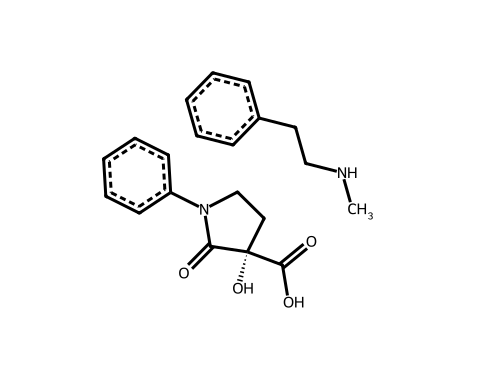 CNCCc1ccccc1.O=C(O)[C@]1(O)CCN(c2ccccc2)C1=O